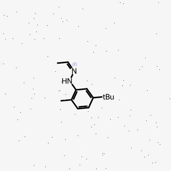 C/C=N\Nc1cc(C(C)(C)C)ccc1C